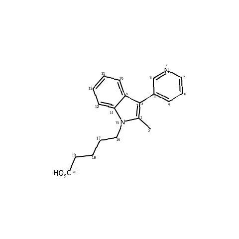 Cc1c(-c2cccnc2)c2ccccc2n1CCCCC(=O)O